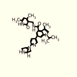 Cc1cc(C)c(CNC(=O)c2cc(-c3ccc(N4C[C@@H]5CC4CN5)nc3)cc3c2c(C)cn3C(C)C)c(=O)[nH]1